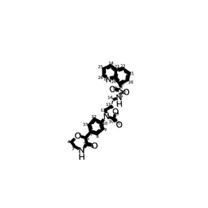 O=C1NCCOC1c1ccc(N2C[C@H](CNS(=O)(=O)c3cccc4cccnc34)OC2=O)cc1